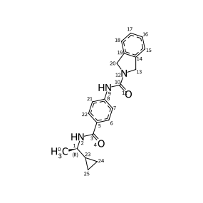 C[C@@H](NC(=O)c1ccc(NC(=O)N2Cc3ccccc3C2)cc1)C1CC1